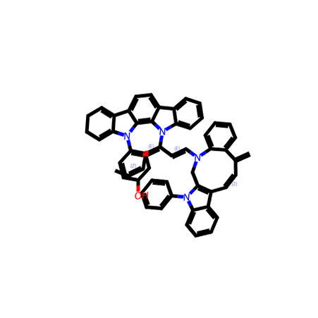 C=C1/C=C\c2c(n(-c3ccccc3)c3ccccc23)CN(/C=C/C(=C\C=C/C)n2c3ccccc3c3ccc4c5c(n(C6=CCC(O)C=C6)c4c32)=CCCC=5)c2ccccc21